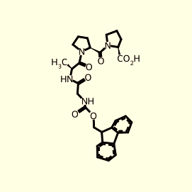 C[C@H](NC(=O)CNC(=O)OCC1c2ccccc2-c2ccccc21)C(=O)N1CCC[C@H]1C(=O)N1CCC[C@H]1C(=O)O